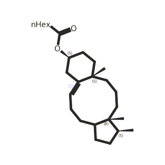 CCCCCCC(=O)O[C@H]1CC[C@]2(C)CCC[C@@]3(C)C(CC/C=C\2C1)CC[C@@H]3C